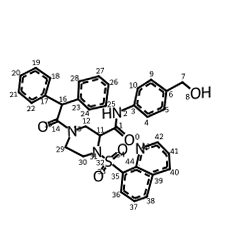 O=C(Nc1ccc(CO)cc1)C1CN(C(=O)C(c2ccccc2)c2ccccc2)CCN1S(=O)(=O)c1cccc2cccnc12